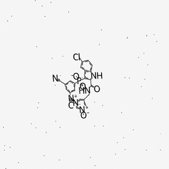 [C-]#[N+]c1cc(C#N)cc(P(=O)(OC)c2c(C(=O)NCc3cnc[n+]([O-])c3)[nH]c3ccc(Cl)cc23)c1